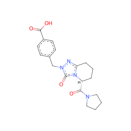 O=C(O)c1ccc(Cn2nc3n(c2=O)[C@@H](C(=O)N2CCCC2)CCC3)cc1